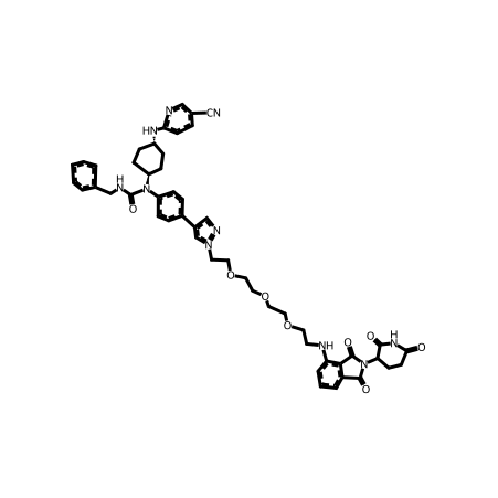 N#Cc1ccc(N[C@H]2CC[C@H](N(C(=O)NCc3ccccc3)c3ccc(-c4cnn(CCOCCOCCOCCNc5cccc6c5C(=O)N(C5CCC(=O)NC5=O)C6=O)c4)cc3)CC2)nc1